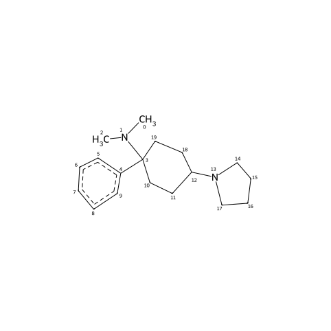 CN(C)C1(c2ccccc2)CCC(N2CCCC2)CC1